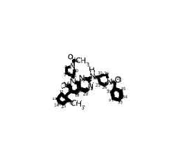 CC(=O)N1CCC(n2c(=O)c(-c3ccccc3C)cc3cnc(NC4CCN(C(=O)c5ccccc5)CC4)nc32)C1